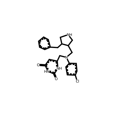 O=c1cc(CN(CC2CNCC2Cc2ccccc2)c2ccc(Cl)cc2)[nH]c(=O)[nH]1